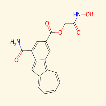 NC(=O)c1cc(C(=O)OCC(=O)NO)cc2c3cccccc-3cc12